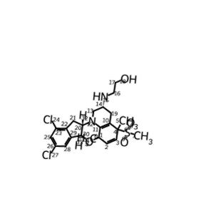 CC12C=CC(C)(S(C)(=O)=O)C3=C1N(C[C@H](NCCO)C3)[C@H]1Cc3c(Cl)cc(Cl)cc3[C@@H]1O2